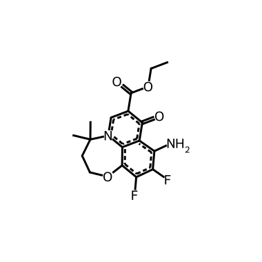 CCOC(=O)c1cn2c3c(c(F)c(F)c(N)c3c1=O)OCCC2(C)C